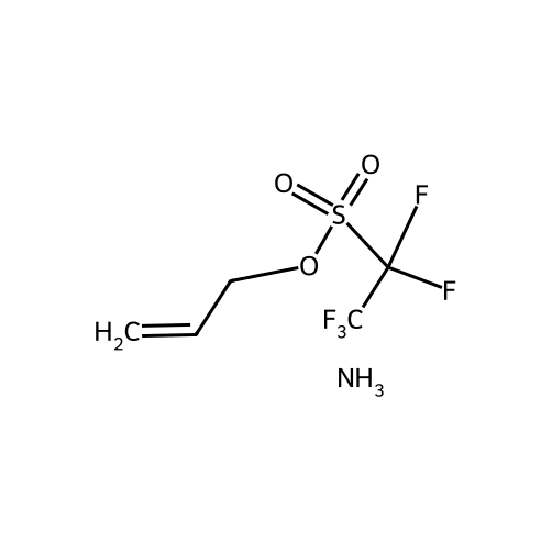 C=CCOS(=O)(=O)C(F)(F)C(F)(F)F.N